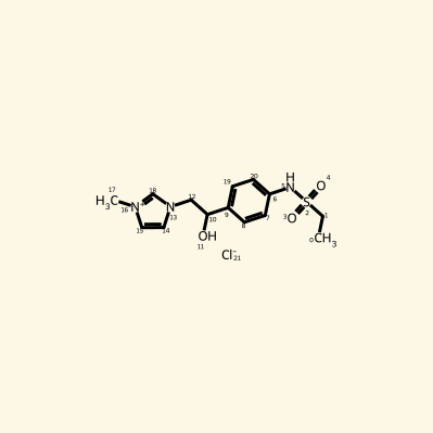 CCS(=O)(=O)Nc1ccc(C(O)Cn2cc[n+](C)c2)cc1.[Cl-]